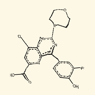 O=C(O)c1cc(Cl)c2nc(N3CCOCC3)nc(-c3ccc(O)c(F)c3)c2n1